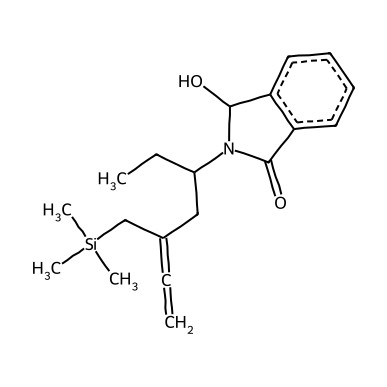 C=C=C(CC(CC)N1C(=O)c2ccccc2C1O)C[Si](C)(C)C